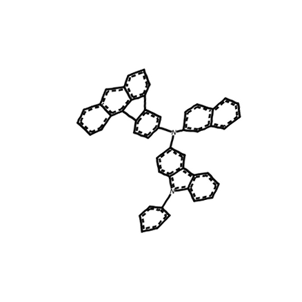 c1ccc(-n2c3ccccc3c3cc(N(c4ccc5c(c4)-c4cccc6cc7ccccc7c-5c46)c4ccc5ccccc5c4)ccc32)cc1